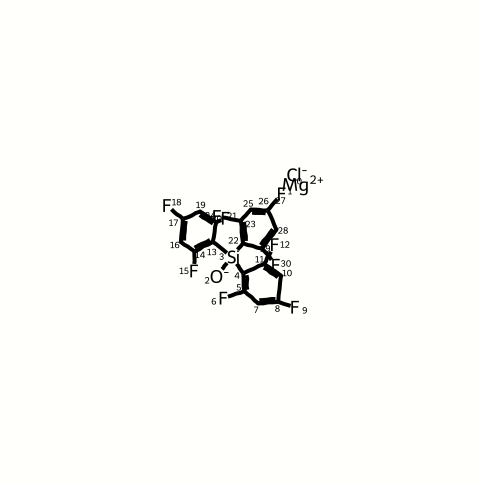 [Cl-].[Mg+2].[O-][Si](c1c(F)cc(F)cc1F)(c1c(F)cc(F)cc1F)c1c(F)cc(F)cc1F